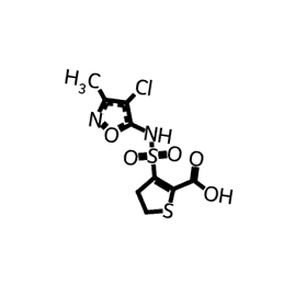 Cc1noc(NS(=O)(=O)C2=C(C(=O)O)SCC2)c1Cl